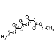 CCOC(=O)CC(=O)OC(=O)CC(=O)OCC